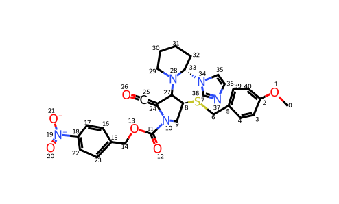 COc1ccc(CS[C@H]2CN(C(=O)OCc3ccc([N+](=O)[O-])cc3)C(=C=O)C2N2CCCC[C@@H]2n2ccnc2)cc1